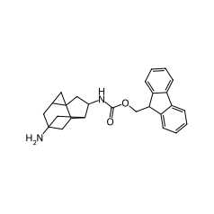 NC12CC3C(NC(=O)OCC4c5ccccc5-c5ccccc54)CC4(CC4C1)C3C2